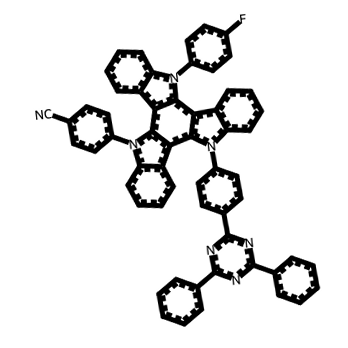 N#Cc1ccc(-n2c3ccccc3c3c2c2c4ccccc4n(-c4ccc(F)cc4)c2c2c4ccccc4n(-c4ccc(-c5nc(-c6ccccc6)nc(-c6ccccc6)n5)cc4)c23)cc1